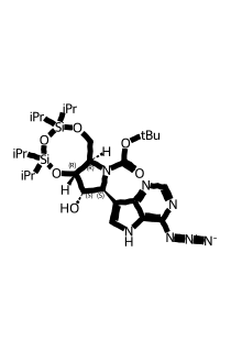 CC(C)[Si]1(C(C)C)OC[C@@H]2[C@@H](O[Si](C(C)C)(C(C)C)O1)[C@@H](O)[C@H](c1c[nH]c3c(N=[N+]=[N-])ncnc13)N2C(=O)OC(C)(C)C